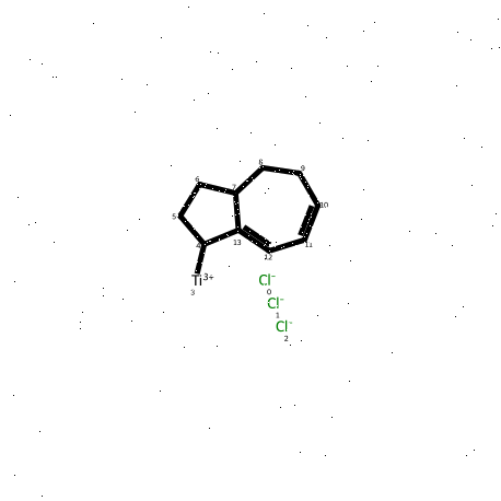 [Cl-].[Cl-].[Cl-].[Ti+3][CH]1CCC2CCC=CC=C12